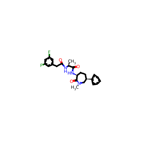 C[C@H](NC(=O)Cc1cc(F)cc(F)c1)C(=O)N[C@H]1CC[C@@H](c2ccccc2)CN(C)C1=O